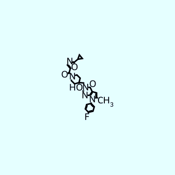 Cc1cc2c(=O)n(CC3(O)CCN(C(=O)c4cnc(C5CC5)o4)CC3)cnc2n1-c1ccc(F)cc1